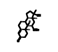 COC1CC2(C)C(CCC2(C)O)C2CCC3=CC(=O)CCC3(C)C12F